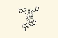 O=C[C@H](C[C@@H]1CCCNC1=O)NC(=O)[C@H](Cc1ccccc1)NC(=O)[C@H](Cc1cccc2ccccc12)NC(=O)OCc1ccccc1